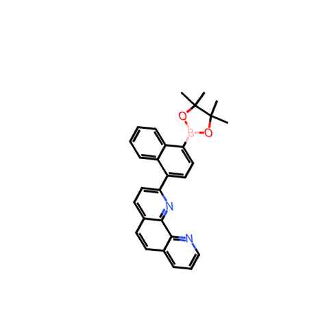 CC1(C)OB(c2ccc(-c3ccc4ccc5cccnc5c4n3)c3ccccc23)OC1(C)C